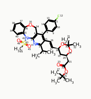 CC(C)c1nc2c(c(-c3ccc(F)cc3)c1/C=C/[C@@H]1C[C@H](CC(=O)OC(C)(C)C)OC(C)(C)O1)COc1ccccc1N2S(C)(=O)=O